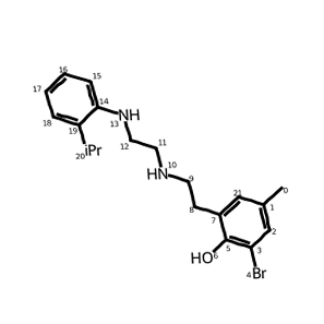 Cc1cc(Br)c(O)c(CCNCCNc2ccccc2C(C)C)c1